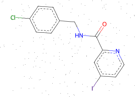 O=C(NCc1ccc(Cl)cc1)c1cc(I)ccn1